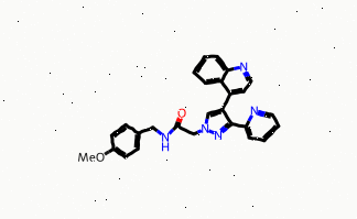 COc1ccc(CNC(=O)Cn2cc(-c3ccnc4ccccc34)c(-c3ccccn3)n2)cc1